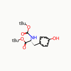 CC(C)(C)OC(=O)N[C@H](Cc1ccc(O)cc1)C(=O)OC(C)(C)C